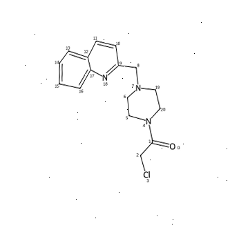 O=C(CCl)N1CCN(Cc2ccc3ccccc3n2)CC1